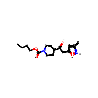 CCCCOC(=O)N1CCC(C(=O)Cc2cc(C)no2)CC1